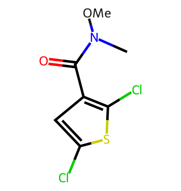 CON(C)C(=O)c1cc(Cl)sc1Cl